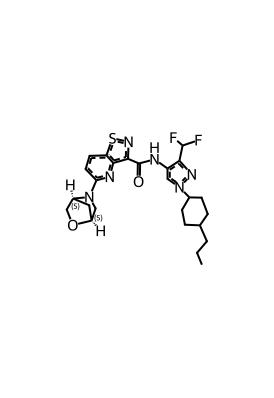 CCCC1CCC(n2cc(NC(=O)c3nsc4ccc(N5C[C@@H]6C[C@H]5CO6)nc34)c(C(F)F)n2)CC1